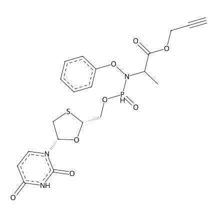 C#CCOC(=O)C(C)N(Oc1ccccc1)[PH](=O)OC[C@@H]1O[C@H](n2ccc(=O)[nH]c2=O)CS1